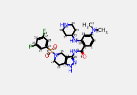 CN(C)c1ccc(C(=O)Nc2n[nH]c3c2CN(S(=O)(=O)c2cc(F)cc(F)c2)CC3)c(NC2CCNCC2)c1